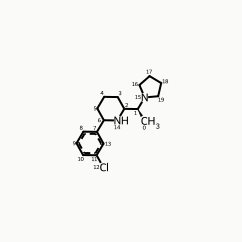 C[C@@H](C1CCCC(c2cccc(Cl)c2)N1)N1CCCC1